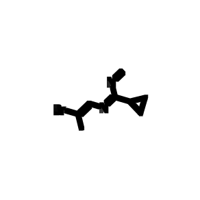 C=N/C(=N\C=C(/C)Br)C1CC1